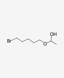 C[C](O)OCCCCCBr